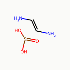 N/C=C/N.O=S(O)O